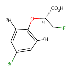 [2H]c1cc(Br)cc([2H])c1O[C@@H](CF)C(=O)O